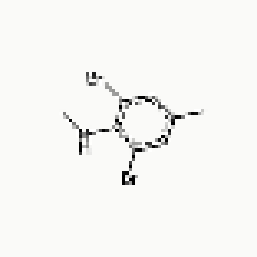 CNc1c(Br)cc(C)cc1Br